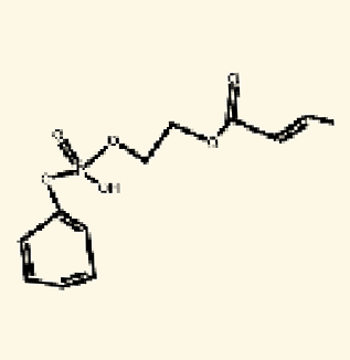 CC=CC(=O)OCCOP(=O)(O)Oc1ccccc1